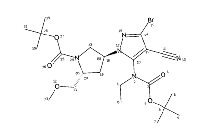 CCN(C(=O)OC(C)(C)C)c1c(C#N)c(Br)nn1[C@H]1C[C@H](COC)N(C(=O)OC(C)(C)C)C1